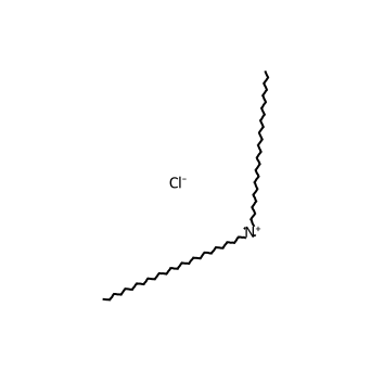 CCCCCCCCCCCCCCCCCCCCCCCCCC[N+](C)(C)CCCCCCCCCCCCCCCCCCCCCCCCCC.[Cl-]